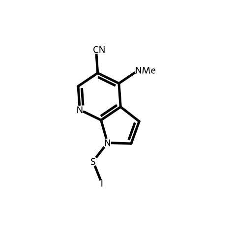 CNc1c(C#N)cnc2c1ccn2SI